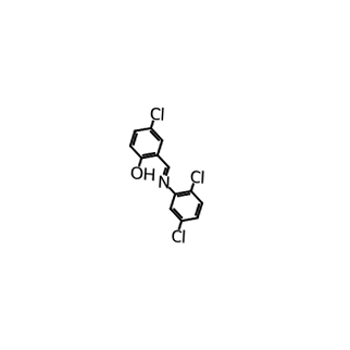 Oc1ccc(Cl)cc1C=Nc1cc(Cl)ccc1Cl